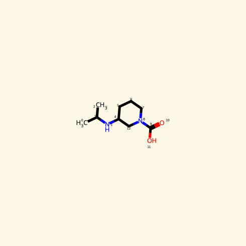 CC(C)NC1CCCN(C(=O)O)C1